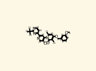 COc1cccc(COc2cc(C)n(-c3cc(-c4ccnc(C(C)(C)C)n4)ncc3Cl)c(=O)c2C)c1